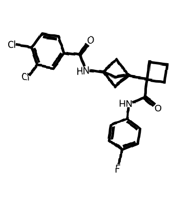 O=C(NC12CC(C3(C(=O)Nc4ccc(F)cc4)CCC3)(C1)C2)c1ccc(Cl)c(Cl)c1